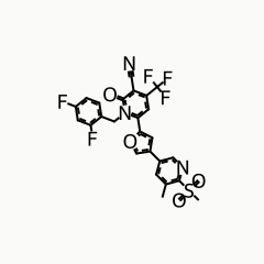 Cc1cc(-c2coc(-c3cc(C(F)(F)F)c(C#N)c(=O)n3Cc3ccc(F)cc3F)c2)cnc1S(C)(=O)=O